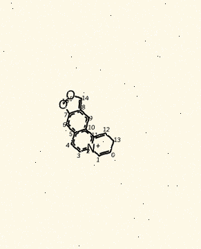 C1=C[n+]2ccc3cc4c(cc3c2=CC1)=COO4